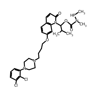 CPN(C)C(=O)OC(C(C)C)n1c(=O)ccc2ccc(OCCCCN3CCN(c4cccc(Cl)c4Cl)CC3)cc21